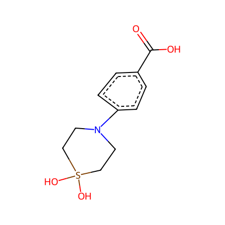 O=C(O)c1ccc(N2CCS(O)(O)CC2)cc1